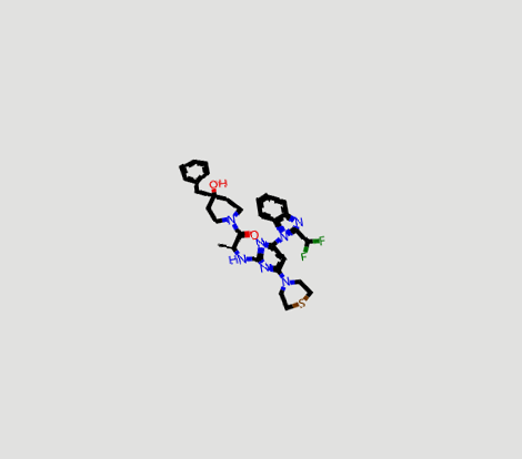 C[C@H](Nc1nc(N2CCSCC2)cc(-n2c(C(F)F)nc3ccccc32)n1)C(=O)N1CCC(O)(Cc2ccccc2)CC1